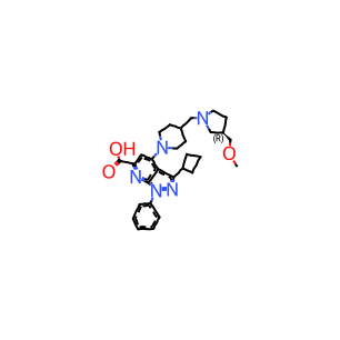 COC[C@@H]1CCN(CC2CCN(c3cc(C(=O)O)nc4c3c(C3CCC3)nn4-c3ccccc3)CC2)C1